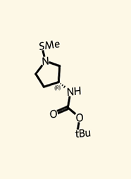 CSN1CC[C@@H](NC(=O)OC(C)(C)C)C1